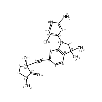 CN1CC[C@](O)(C#Cc2ccc3c(c2)N(c2nc(N)ncc2Cl)CC3(C)C)C1=O